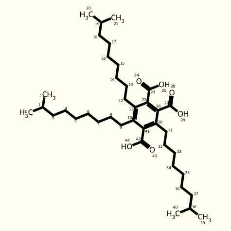 CC(C)CCCCCCCc1c(CCCCCCCC(C)C)c(C(=O)O)c(C(=O)O)c(CCCCCCCC(C)C)c1C(=O)O